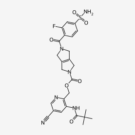 CC(C)(C)C(=O)Nc1cc(C#N)cnc1COC(=O)N1CC2=C(C1)CN(C(=O)c1ccc(S(N)(=O)=O)cc1F)C2